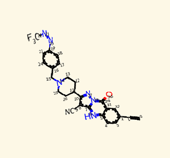 C#Cc1ccc2[nH]c3c(C#N)c(C4CCN(Cc5ccc(/N=N\C(F)(F)F)cc5)CC4)nn3c(=O)c2c1